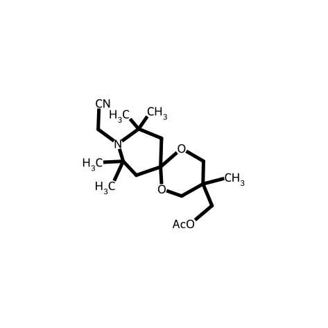 CC(=O)OCC1(C)COC2(CC(C)(C)N(CC#N)C(C)(C)C2)OC1